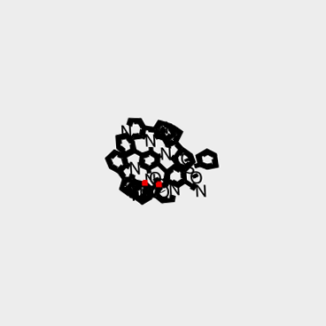 N#Cc1cc(S(=O)(=O)c2ccccc2)c(-c2c(-n3c4ccccc4c4ccncc43)c(-n3c4ccccc4c4ccncc43)c(-c3ccccc3)c(-n3c4ccccc4c4ccncc43)c2-n2c3ccccc3c3ccncc32)cc1S(=O)(=O)c1ccccc1